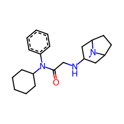 CN1C2CCC1CC(NCC(=O)N(c1ccccc1)C1CCCCC1)C2